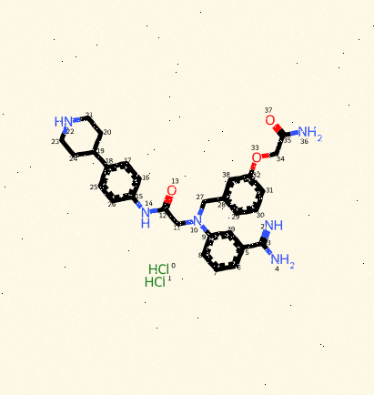 Cl.Cl.N=C(N)c1cccc(N(CC(=O)Nc2ccc(C3CCNCC3)cc2)Cc2cccc(OCC(N)=O)c2)c1